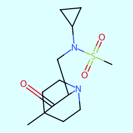 CC12CCN(CC1)C(CN(C1CC1)S(C)(=O)=O)C2=O